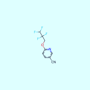 N#Cc1ccc(OCC(F)(F)C(F)F)nc1